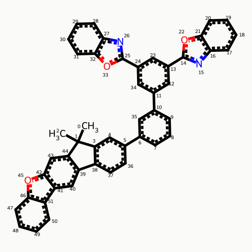 CC1(C)c2cc(-c3cccc(-c4cc(-c5nc6ccccc6o5)cc(-c5nc6ccccc6o5)c4)c3)ccc2-c2cc3c(cc21)oc1ccccc13